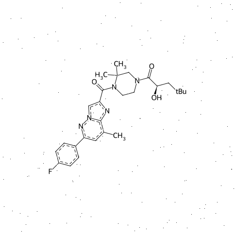 Cc1cc(-c2ccc(F)cc2)nn2cc(C(=O)N3CCN(C(=O)[C@H](O)CC(C)(C)C)CC3(C)C)nc12